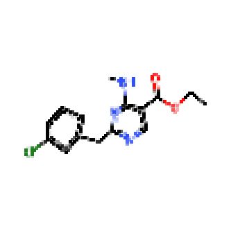 CCOC(=O)c1cnc(Cc2cccc(Cl)c2)nc1NC